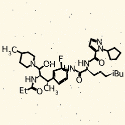 CCC(=O)N[C@@H](C(O)N1CCC(C)CC1)[C@@H](C)c1ccc(NC(=O)[C@H](CCC[C@H](C)CC)NC(=O)c2ccnn2C2CCCC2)c(F)c1